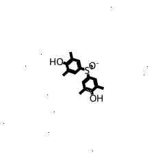 Cc1cc([S+]([O-])c2cc(C)c(O)c(C)c2)cc(C)c1O